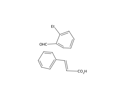 CCc1ccccc1C=O.O=C(O)C=Cc1ccccc1